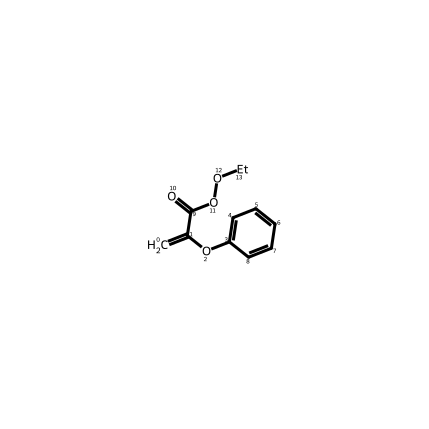 C=C(Oc1ccccc1)C(=O)OOCC